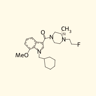 COc1cccc2c(C(=O)N3CCN(CCF)[C@@H](C)C3)cn(CC3CCCCC3)c12